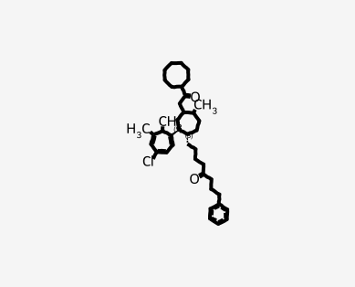 CC1=CC(Cl)=CC=C([C@H]2CC(CC(=O)C3CCCCCCC3)C(C)CC[C@@H]2CCCCC(=O)CCCc2ccccc2)C1C